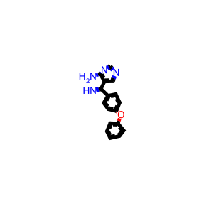 N=C(c1ccc(Oc2ccccc2)cc1)c1cncnc1N